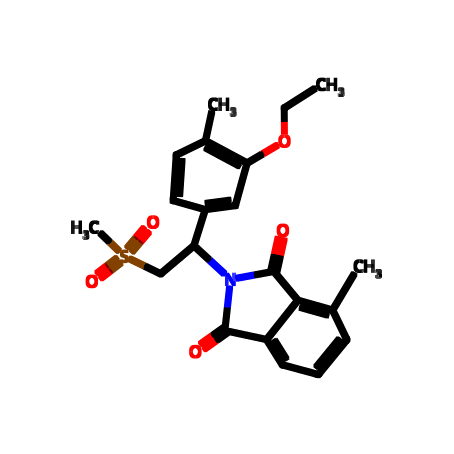 CCOc1cc(C(CS(C)(=O)=O)N2C(=O)c3cccc(C)c3C2=O)ccc1C